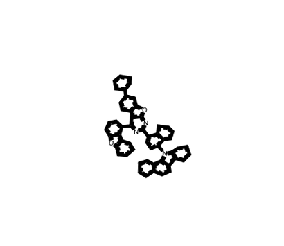 c1ccc(-c2ccc3c(c2)oc2nc(-c4ccc(-n5c6ccccc6c6ccc7ccccc7c65)c5ccccc45)nc(-c4cccc5oc6ccccc6c45)c23)cc1